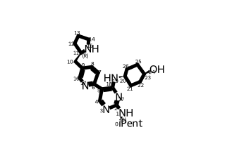 CCC[C@H](C)Nc1ncc(-c2ccc(C[C@H]3CCCN3)cn2)c(N[C@H]2CC[C@H](O)CC2)n1